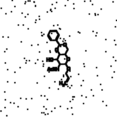 C=CCOC1OC2COC(c3ccccc3)OC2C(O)C1NC(C)=O